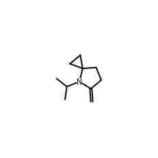 C=C1CCC2(CC2)N1C(C)C